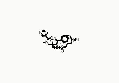 CCN(CC)CCCS(=O)(=O)NC1C(c2ccccc2)=NOC1(C)CN(C)C(=O)c1cncs1